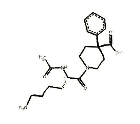 CC(=O)N[C@@H](CCCCN)C(=O)N1CCC(C(=O)O)(c2ccccc2)CC1